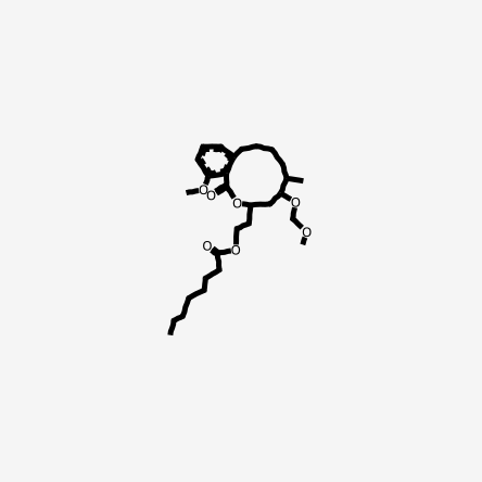 CCCCCCCC(=O)OCCC1CC(OCOC)C(C)CCCCc2cccc(OC)c2C(=O)O1